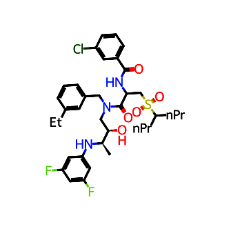 CCCC(CCC)S(=O)(=O)CC(NC(=O)c1cccc(Cl)c1)C(=O)N(Cc1cccc(CC)c1)C[C@@H](O)[C@@H](C)Nc1cc(F)cc(F)c1